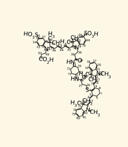 CN1/C(=C/C=C2\CCCC(/C=C/C3=[N+](C)c4ccccc4C3(C)C)=C2SCCC(=O)N[C@H]2CC[C@H](NC(=O)CC[N+]3=C(/C=C/C=C/C=C4/N(CCC(=O)O)c5ccc(S(=O)(=O)O)cc5C4(C)C)C(C)(C)c4cc(S(=O)(=O)O)ccc43)CC2)C(C)(C)c2ccccc21